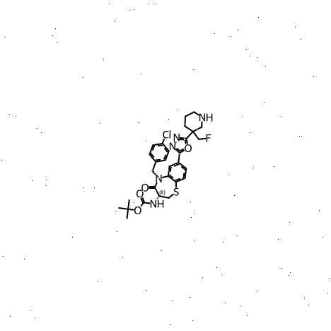 CC(C)(C)OC(=O)N[C@H]1CSc2ccc(-c3nnc(C4(CF)CCCNC4)o3)cc2N(Cc2ccc(Cl)cc2)C1=O